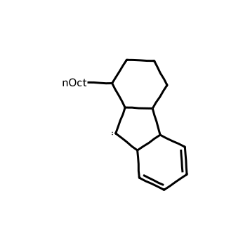 CCCCCCCCC1CCCC2C1[C]C1C=CC=CC12